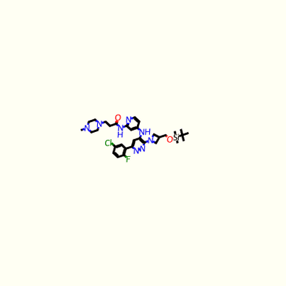 CN1CCN(CCC(=O)Nc2cc(Nc3cc(-c4cc(Cl)ccc4F)nnc3N3CC(CO[Si](C)(C)C(C)(C)C)C3)ccn2)CC1